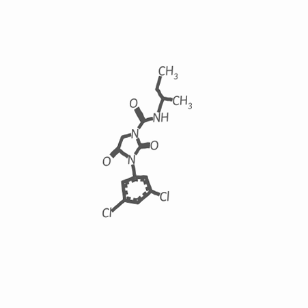 CCC(C)NC(=O)N1CC(=O)N(c2cc(Cl)cc(Cl)c2)C1=O